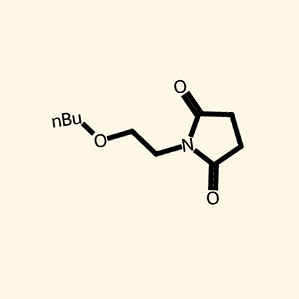 CCCCOCCN1C(=O)CCC1=O